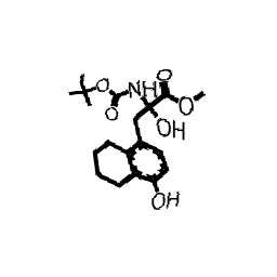 COC(=O)C(O)(Cc1ccc(O)c2c1CCCC2)NC(=O)OC(C)(C)C